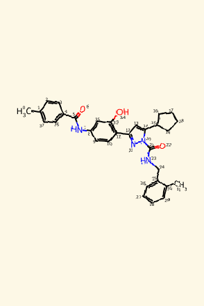 Cc1ccc(C(=O)Nc2ccc(-c3cc(C4CCCC4)n(C(=O)NCc4ccccc4C)n3)c(O)c2)cc1